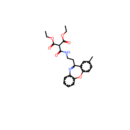 CCOC(=O)C(C(=O)NCCC1=Nc2ccccc2Oc2ccc(C)cc21)C(=O)OCC